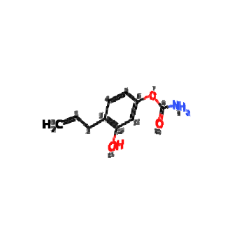 C=CCc1ccc(OC(N)=O)cc1O